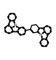 C1=C(c2ccc3c4cccc5c6ccccc6n(c3c2)c54)CCc2c1n1c3ccccc3c3cccc2c31